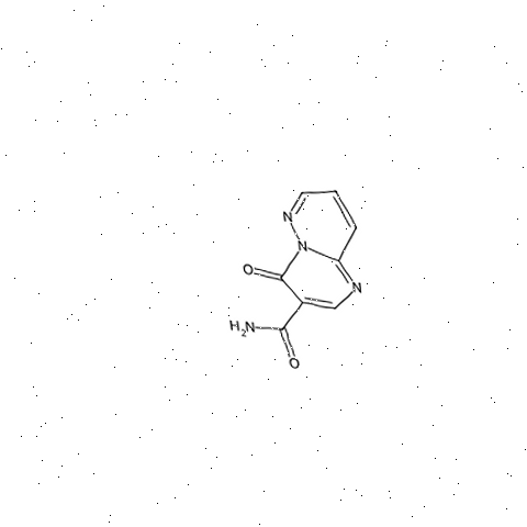 NC(=O)c1cnc2cccnn2c1=O